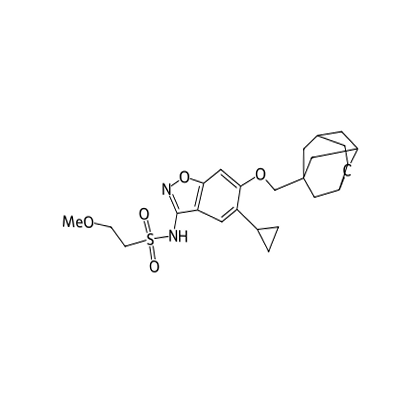 COCCS(=O)(=O)Nc1noc2cc(OCC34CC5CCC(CC(C5)C3)C4)c(C3CC3)cc12